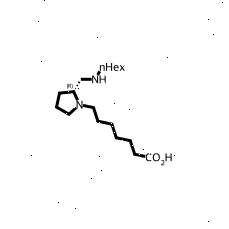 CCCCCCNC[C@H]1CCCN1CCCCCCC(=O)O